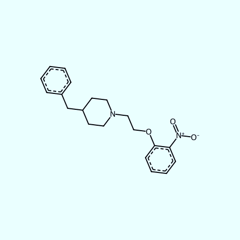 O=[N+]([O-])c1ccccc1OCCN1CCC(Cc2ccccc2)CC1